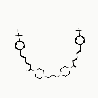 Cl.Cl.O=C(C=CC=Cc1ccc(C(F)(F)F)cc1)N1CCN(CCCN2CCN(C(=O)C=CC=Cc3ccc(C(F)(F)F)cc3)CC2)CC1